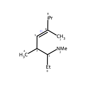 CCC(NC)C(C)/C=C(\C)C(C)C